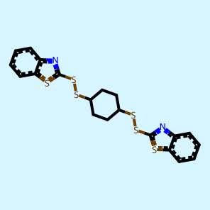 c1ccc2sc(SSC3CCC(SSc4nc5ccccc5s4)CC3)nc2c1